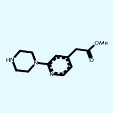 COC(=O)Cc1ccnc(N2CCNCC2)c1